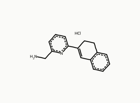 Cl.NCc1cccc(C2=Cc3ccccc3CC2)n1